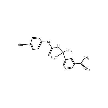 C=C(C)c1cccc(C(C)(C)NC(=O)Nc2ccc(C(C)(C)C)cc2)c1